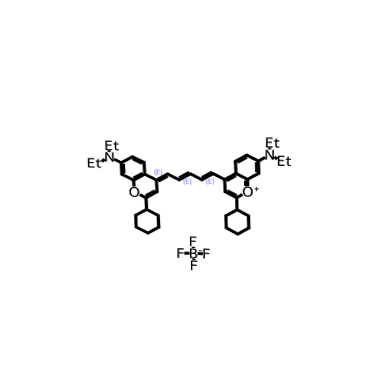 CCN(CC)c1ccc2c(c1)OC(C1CCCCC1)=C\C2=C/C=C/C=C/c1cc(C2CCCCC2)[o+]c2cc(N(CC)CC)ccc12.F[B-](F)(F)F